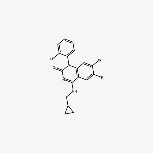 O=c1nc(NCC2CC2)c2cc(F)c(Br)cc2n1-c1ccccc1Cl